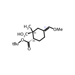 CO/C=C1\CC[C@H](C(=O)OC(C)(C)C)[C@@](C)(C(=O)O)C1